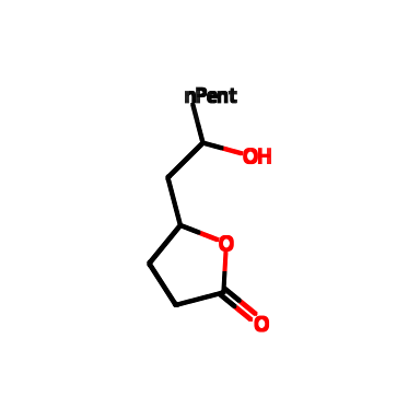 CCCCCC(O)CC1CCC(=O)O1